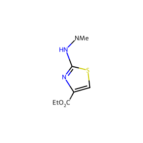 CCOC(=O)c1csc(NNC)n1